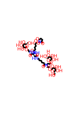 O=C(C[C@H](NC(=O)CCCCC(=O)ON1C(=O)CCC1=O)C(=O)NCCO[C@H]1O[C@H](CO)[C@@H](O)[C@@H](O)[C@@H]1O)NCCCCCC(=O)N(CCO[C@H]1O[C@H](CO)[C@@H](O)[C@H](O)[C@@H]1O)CCO[C@H]1O[C@H](CO)[C@@H](O)[C@@H](O)[C@@H]1O